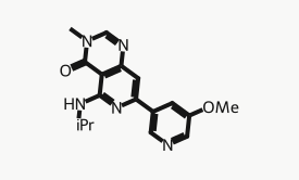 COc1cncc(-c2cc3ncn(C)c(=O)c3c(NC(C)C)n2)c1